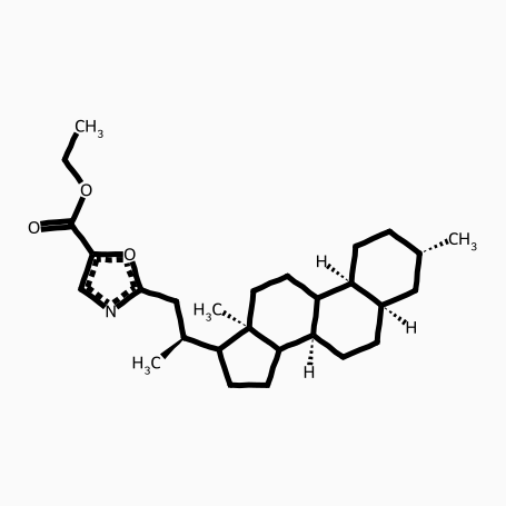 CCOC(=O)c1cnc(C[C@H](C)C2CCC3[C@@H]4CC[C@@H]5C[C@@H](C)CC[C@@H]5C4CC[C@@]32C)o1